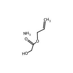 C=CCOC(=O)CO.N